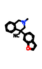 CN1Cc2ccccc2C(C#N)(c2ccc3ccoc3c2)C1